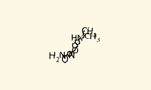 CCC(C)CNC1Cc2ccc(Oc3ccc(C(N)=O)cn3)cc2C1